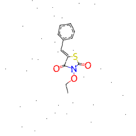 CCON1C(=O)S/C(=C\c2ccccc2)C1=O